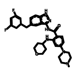 CN1CCN(c2ccc(C(=O)Nc3n[nH]c4ccc(CC5C=C(F)C=C(F)C5)cc34)c(NC3CCOCC3)c2)CC1